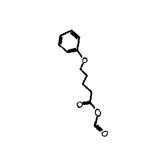 O=COC(=O)CCCCOc1ccccc1